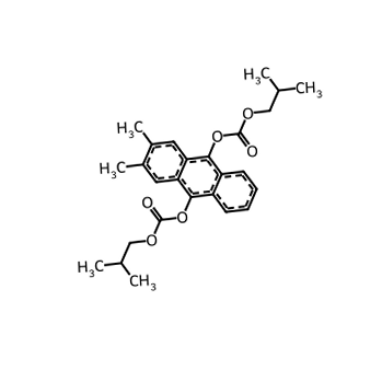 Cc1cc2c(OC(=O)OCC(C)C)c3ccccc3c(OC(=O)OCC(C)C)c2cc1C